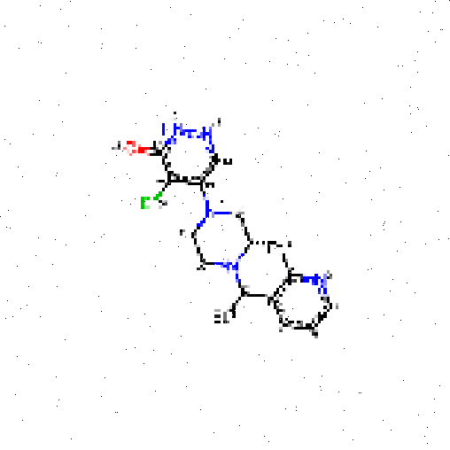 CCc1ncccc1C(CC)N1CCN(c2cn[nH]c(=O)c2Cl)CC1